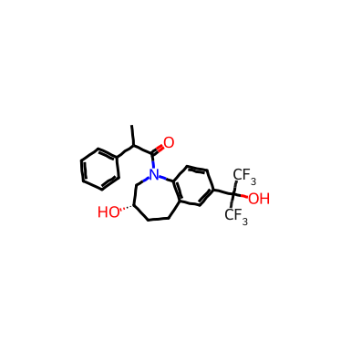 CC(C(=O)N1C[C@@H](O)CCc2cc(C(O)(C(F)(F)F)C(F)(F)F)ccc21)c1ccccc1